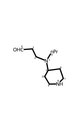 CCCN(CCC=O)C1CCNCC1